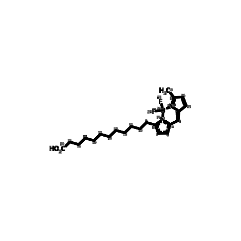 CC1=[N+]2C(=Cc3ccc(CCCCCCCCCCCC(=O)O)n3[B-]2(F)F)C=C1